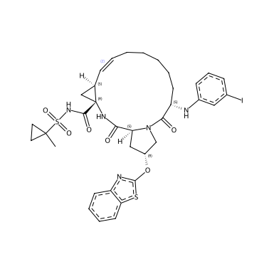 CC1(S(=O)(=O)NC(=O)[C@@]23C[C@H]2/C=C\CCCCC[C@H](Nc2cccc(I)c2)C(=O)N2C[C@H](Oc4nc5ccccc5s4)C[C@H]2C(=O)N3)CC1